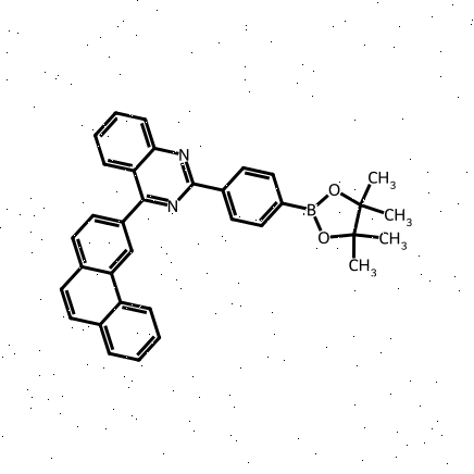 CC1(C)OB(c2ccc(-c3nc(-c4ccc5ccc6ccccc6c5c4)c4ccccc4n3)cc2)OC1(C)C